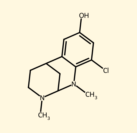 CN1CCC2CC1N(C)c1c(Cl)cc(O)cc12